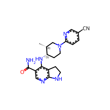 C[C@@H]1CN(c2ccc(C#N)cn2)CC[C@@H]1Nc1c(C(N)=O)cnc2c1CCN2